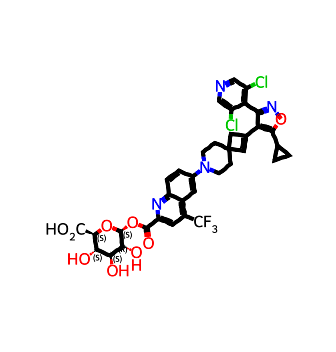 O=C(O[C@@H]1O[C@H](C(=O)O)[C@@H](O)[C@H](O)[C@H]1O)c1cc(C(F)(F)F)c2cc(N3CCC4(C=C(c5c(-c6c(Cl)cncc6Cl)noc5C5CC5)C4)CC3)ccc2n1